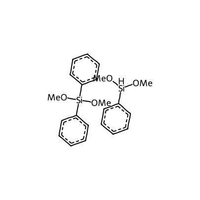 CO[SiH](OC)c1ccccc1.CO[Si](OC)(c1ccccc1)c1ccccc1